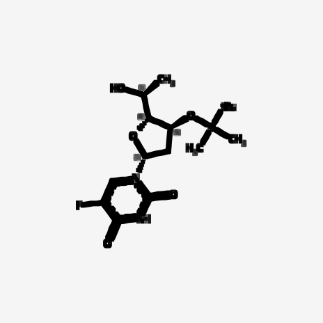 C[C@H](O)[C@H]1O[C@@H](n2cc(F)c(=O)[nH]c2=O)C[C@@H]1O[Si](C)(C)C(C)(C)C